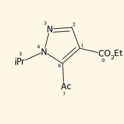 CCOC(=O)c1cnn(C(C)C)c1C(C)=O